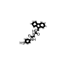 O=C(CNC(=O)OCC1c2ccccc2-c2ccccc21)Nc1ccc(S)cc1